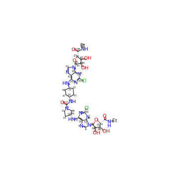 CCNC(=O)[C@H]1O[C@@H](n2cnc3c(N[C@@H]4CCN(C(=O)N[C@H]5CC[C@H](Nc6nc(Cl)nc7c6ncn7[C@@H]6O[C@H](C(=O)NCC)[C@@H](O)[C@H]6O)CC5)C4)nc(Cl)nc32)[C@H](O)[C@@H]1O